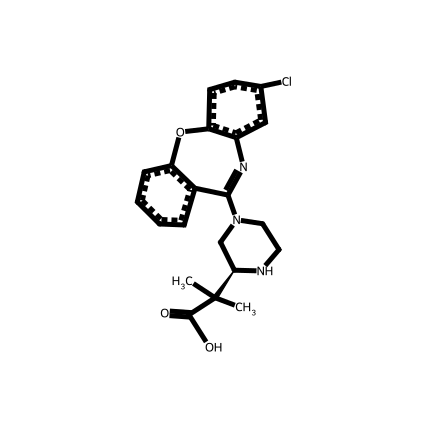 CC(C)(C(=O)O)[C@H]1CN(C2=Nc3cc(Cl)ccc3Oc3ccccc32)CCN1